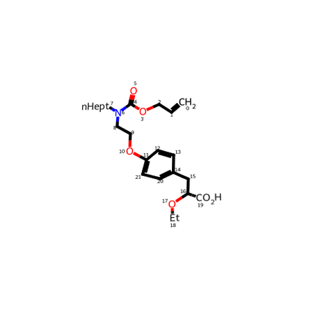 C=CCOC(=O)N(CCCCCCC)CCOc1ccc(CC(OCC)C(=O)O)cc1